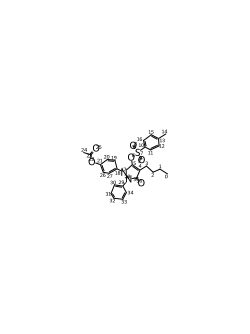 CCCCc1c(OS(=O)(=O)c2ccc(C)cc2)n(-c2ccc(OC(C)=O)cc2)n(-c2ccccc2)c1=O